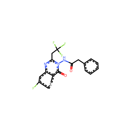 O=C(Cc1ccccc1)Nn1c(CC(F)(F)F)nc2cc(F)ccc2c1=O